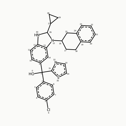 OC(c1ccc(Cl)cc1)(c1ccc2c(c1)N(C1CCc3ccccc3C1)C(C1CC1)N2)c1nccs1